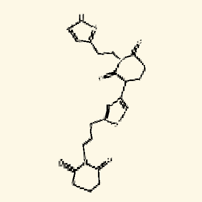 O=C1CCCC(=O)N1CCCc1cc(C2CCC(=O)N(CCc3cc[nH]n3)C2=O)cs1